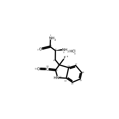 Cl.NC(=O)[C@@H](N)CC1(F)C(=C=O)Nc2ccccc21